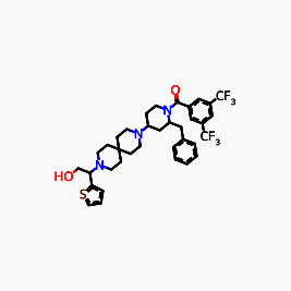 O=C(c1cc(C(F)(F)F)cc(C(F)(F)F)c1)N1CCC(N2CCC3(CC2)CCN(C(CO)c2cccs2)CC3)CC1Cc1ccccc1